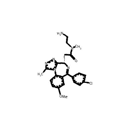 COc1ccc2c(c1)C(c1ccc(Cl)cc1)=N[C@@H](CC(=O)N(C)CCN)c1nnc(C)n1-2